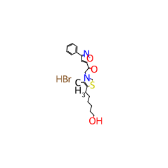 Br.CC1=C(CCCCCCO)SCN1CC(=O)c1cc(-c2ccccc2)no1